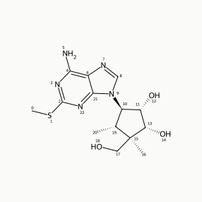 CSc1nc(N)c2ncn([C@H]3[C@H](O)[C@H](O)[C@@](C)(CO)[C@@H]3C)c2n1